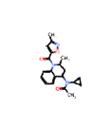 CC(=O)N(C1CC1)C1CC(C)N(C(=O)c2cc(C)no2)c2ccccc21